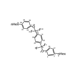 CCCCCCc1ccc(OC(F)(F)c2ccc(C(F)(F)Oc3ccc(CCCCCC)cc3)cc2)cc1